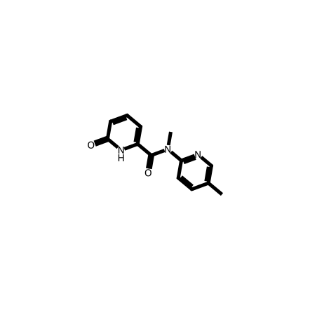 Cc1ccc(N(C)C(=O)c2cccc(=O)[nH]2)nc1